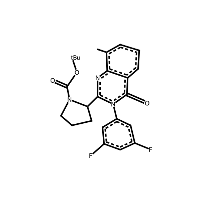 Cc1cccc2c(=O)n(-c3cc(F)cc(F)c3)c(C3CCCN3C(=O)OC(C)(C)C)nc12